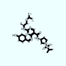 CC(C)S(=O)(=O)N1CC[C@H](NC(=O)c2cnc(N[C@@H](C)COC(F)F)nc2/N=C\C2CCC(O)CC2)C1